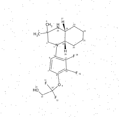 CC1(C)CN(c2ccc(OC(F)(F)CO)c(F)c2F)[C@H]2CCCC[C@H]2N1